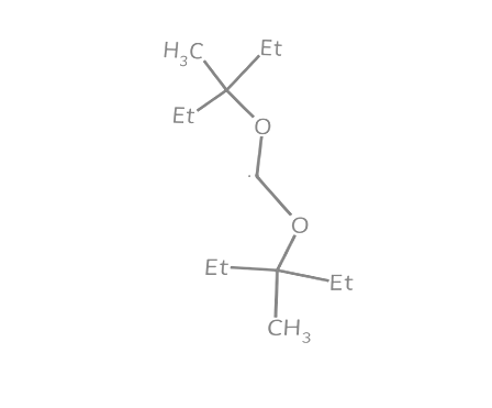 CCC(C)(CC)O[CH]OC(C)(CC)CC